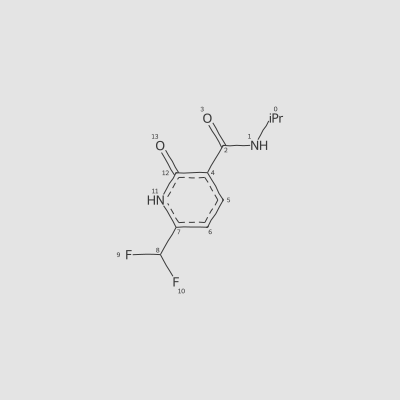 CC(C)NC(=O)c1ccc(C(F)F)[nH]c1=O